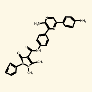 Cc1c(C(=O)Nc2ccc(-c3nc(-c4ccc(N)cc4)cnc3N)cc2)c(=O)n(-c2ccccc2)n1C